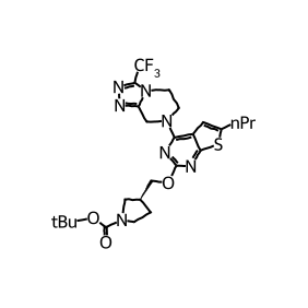 CCCc1cc2c(N3CCn4c(nnc4C(F)(F)F)C3)nc(OC[C@H]3CCN(C(=O)OC(C)(C)C)C3)nc2s1